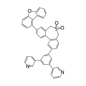 O=S1(=O)Cc2cc(-c3cccc4oc5ccccc5c34)ccc2-c2cc(-c3cc(-c4cccnc4)cc(-c4cccnc4)c3)ccc2C1